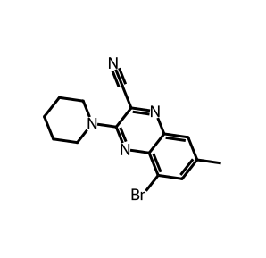 Cc1cc(Br)c2nc(N3CCCCC3)c(C#N)nc2c1